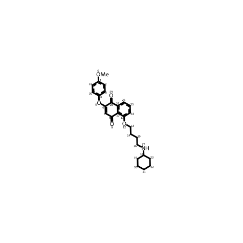 COc1ccc(OC2=CC(=O)c3c(OCCCCNC4CCCCC4)cccc3C2=O)cc1